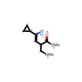 CNCC(/C=C(\N)C1CC1)C(=O)OC